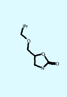 CC(C)COCC1C[N]C(=O)O1